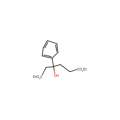 CCOC(=O)CCC(O)(CC(=O)OCC)c1ccccc1